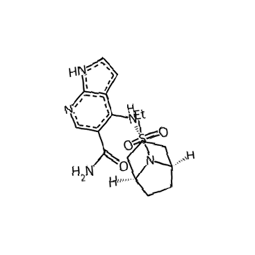 CCS(=O)(=O)N1[C@@H]2CC[C@H]1C[C@H](Nc1c(C(N)=O)cnc3[nH]ccc13)C2